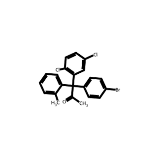 CC(=O)C(c1ccc(Br)cc1)(c1ccccc1C)c1cc(Cl)ccc1Cl